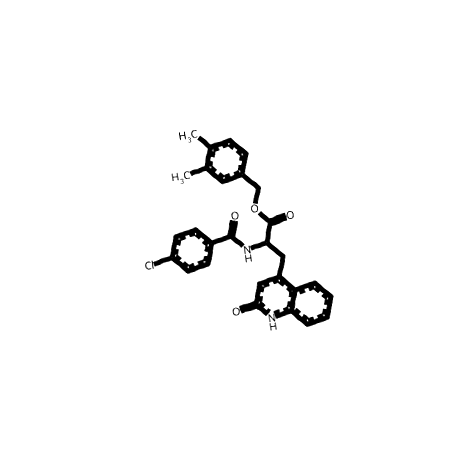 Cc1ccc(COC(=O)C(Cc2cc(=O)[nH]c3ccccc23)NC(=O)c2ccc(Cl)cc2)cc1C